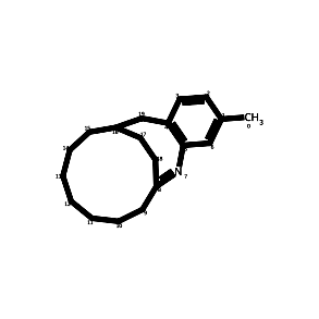 Cc1ccc2c(c1)N=C1CCCCCCCC(CC1)C2